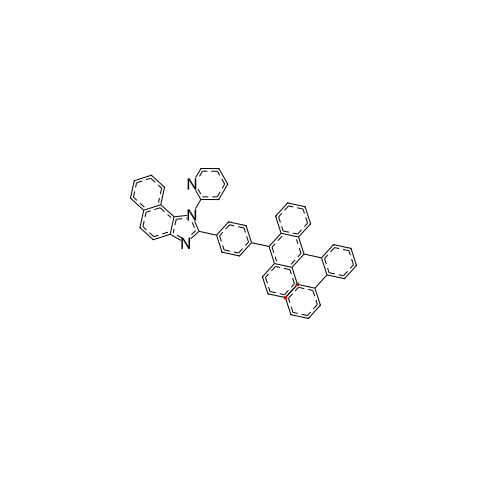 c1ccc(-c2ccccc2-c2c3ccccc3c(-c3ccc(-c4nc5ccc6ccccc6c5n4-c4ccccn4)cc3)c3ccccc23)cc1